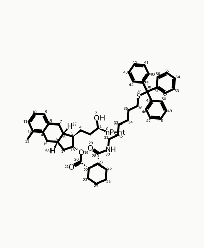 CCCCC[C@H](O)CC[C@@H]1[C@H]2Cc3cccc(C)c3C[C@H]2C[C@H]1OC(=O)[C@H]1CCCC[C@H]1C(=O)NCCCCCCSC(c1ccccc1)(c1ccccc1)c1ccccc1